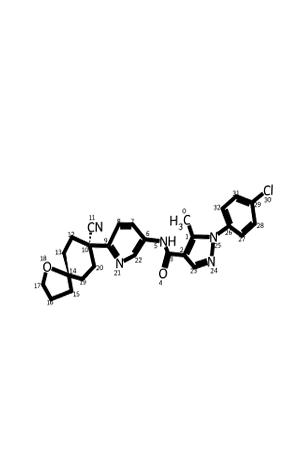 Cc1c(C(=O)Nc2ccc([C@]3(C#N)CC[C@]4(CCCO4)CC3)nc2)cnn1-c1ccc(Cl)cc1